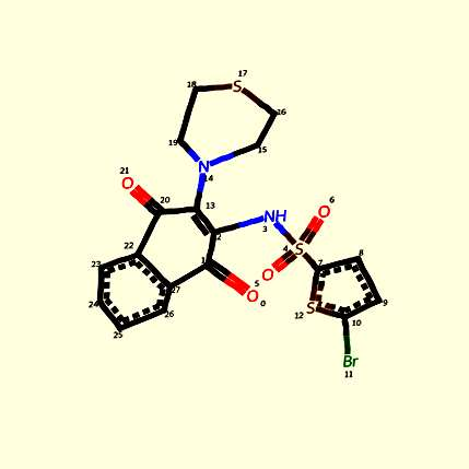 O=C1C(NS(=O)(=O)c2ccc(Br)s2)=C(N2CCSCC2)C(=O)c2ccccc21